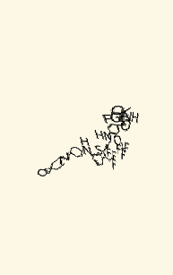 CC(=O)NS(=O)(=O)c1cc(OCC(F)(F)F)c(NCC#Cc2sc3c(NC4CCC(N5CCC6(CC5)COC6)CC4)cccc3c2CC(F)(F)F)cc1F